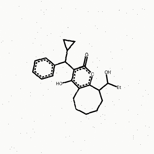 CCC(O)C1CCCCCc2c1oc(=O)c(C(c1ccccc1)C1CC1)c2O